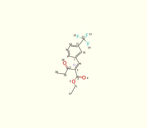 CCOC(=O)/C(=C/c1cccc(C(F)(F)F)c1)C(=O)CC